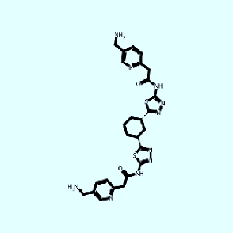 NCc1ccc(CC(=O)Nc2nnc([C@H]3CCC[C@H](c4nnc(NC(=O)Cc5ccc(CN)cn5)s4)C3)s2)nc1